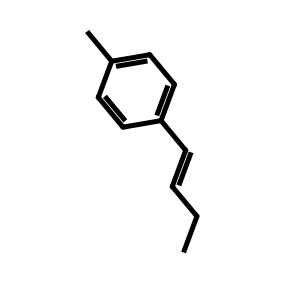 CCC=Cc1ccc(C)cc1